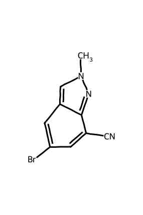 Cn1cc2cc(Br)cc(C#N)c2n1